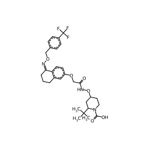 CC(C)(C)C1CC(ONC(=O)COc2ccc3c(c2)CCC/C3=N/OCc2ccc(C(F)(F)F)cc2)CCN1C(=O)O